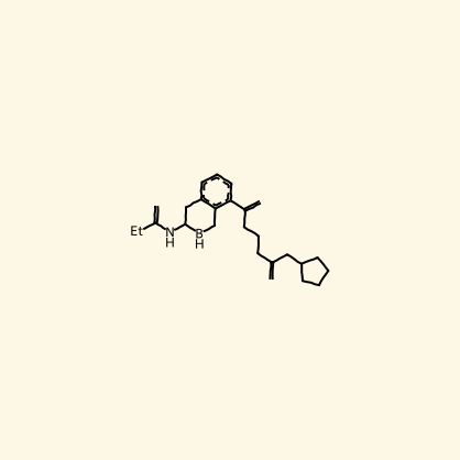 C=C(CCCC(=C)c1cccc2c1CBC(NC(=C)CC)C2)CC1CCCC1